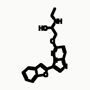 CCNC(O)COc1ccc2ncc(-c3cc4ccccc4o3)n2n1